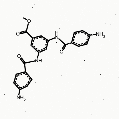 COC(=O)c1cc(NC(=O)c2ccc(N)cc2)cc(NC(=O)c2ccc(N)cc2)c1